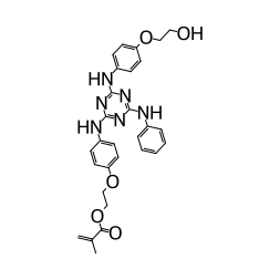 C=C(C)C(=O)OCCOc1ccc(Nc2nc(Nc3ccccc3)nc(Nc3ccc(OCCO)cc3)n2)cc1